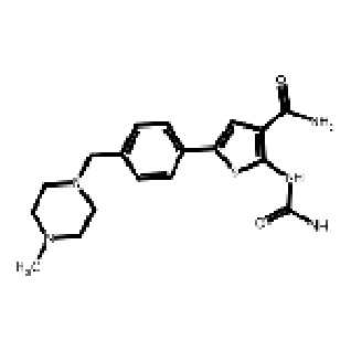 CN1CCN(Cc2ccc(-c3cc(C(N)=O)c(NC(N)=O)s3)cc2)CC1